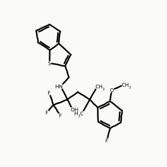 COc1ccc(F)cc1C(C)(C)CC(O)(NCc1cc2ccccc2s1)C(F)(F)F